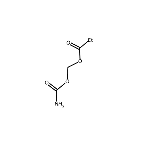 CCC(=O)OCOC(N)=O